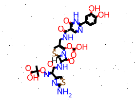 CC(C)(O/N=C(\C(=O)NC1C(=O)N2C(OC(=O)O)=C(CNC(=O)c3cnc(-c4ccc(O)c(O)c4)[nH]c3=O)CS[C@@H]12)c1csc(N)n1)C(=O)O